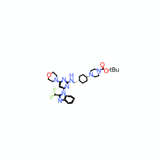 CC(C)(C)OC(=O)N1CCN([C@H]2CC[C@@H](CNc3nc(N4CCOCC4)cc(-n4c(C(F)F)nc5ccccc54)n3)CC2)CC1